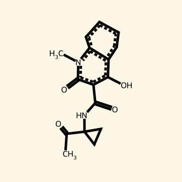 CC(=O)C1(NC(=O)c2c(O)c3ccccc3n(C)c2=O)CC1